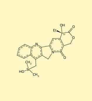 CC[C@@]1(O)C(=O)OCc2c1cc1n(c2=O)Cc2c-1nc1ccccc1c2C[Si](C)(C)O